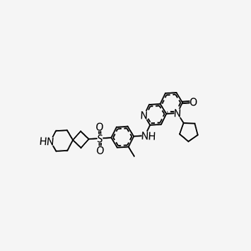 Cc1cc(S(=O)(=O)C2CC3(CCNCC3)C2)ccc1Nc1cc2c(ccc(=O)n2C2CCCC2)cn1